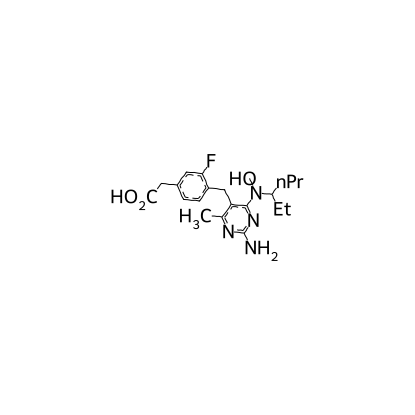 CCCC(CC)N(O)c1nc(N)nc(C)c1Cc1ccc(CC(=O)O)cc1F